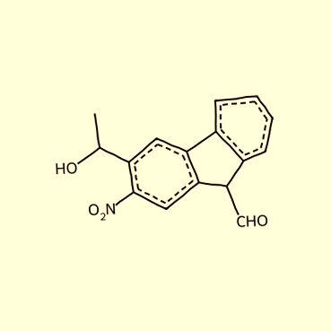 CC(O)c1cc2c(cc1[N+](=O)[O-])C(C=O)c1ccccc1-2